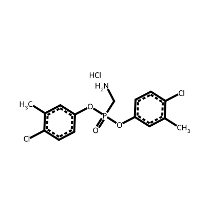 Cc1cc(OP(=O)(CN)Oc2ccc(Cl)c(C)c2)ccc1Cl.Cl